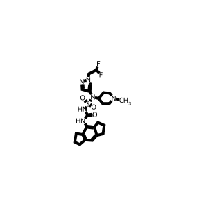 CN1CCC(N(c2cnn(CC(F)F)c2)S(=O)(=O)NC(=O)Nc2c3c(cc4c2CCC4)CCC3)CC1